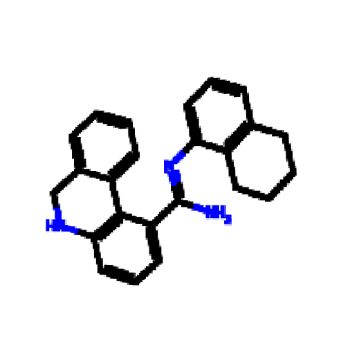 NC(=Nc1cccc2c1CCCC2)c1cccc2c1-c1ccccc1CN2